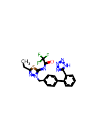 CCc1nn(Cc2ccc(-c3ccccc3-c3nnn[nH]3)cc2)c(=NC(=O)C(F)(F)F)s1